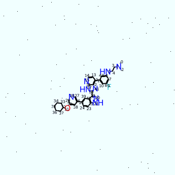 CN(C)CCNc1cc(F)cc(-c2ccnc3[nH]c(-c4n[nH]c5ccc(-c6cncc(OC7CCCCC7)c6)cc45)nc23)c1